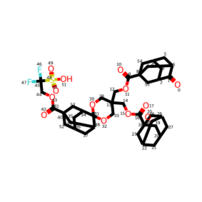 O=C1C2CC3CC1CC(C(=O)OCC1(COC(=O)C45CC6CC(C4)C(=O)C(C6)C5)COC4(OC1)C1CC5CC4CC(C(=O)OCC(F)(F)S(=O)(=O)O)(C5)C1)(C3)C2